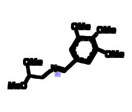 COc1cc(/C=N/CC(OC)OC)cc(OC)c1OC